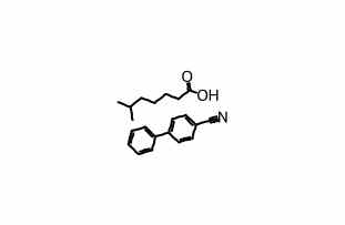 CC(C)CCCCC(=O)O.N#Cc1ccc(-c2ccccc2)cc1